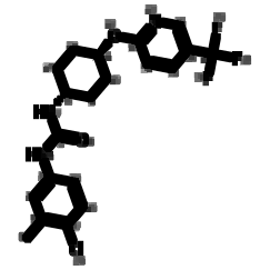 Cc1cc(NC(=O)N[C@H]2CC[C@H](Oc3ccc(C(F)(F)F)cn3)CC2)ccc1Cl